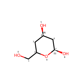 OCC1C[C@@H](O)C[C@@H](O)O1